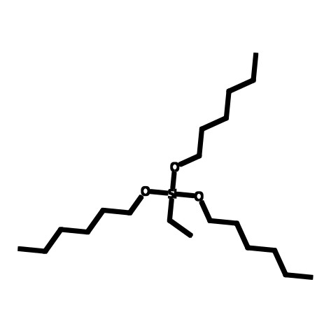 CCCCCCO[Si](CC)(OCCCCCC)OCCCCCC